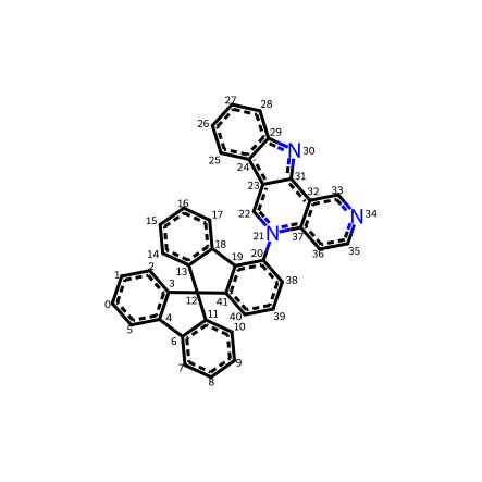 c1ccc2c(c1)-c1ccccc1C21c2ccccc2-c2c(-n3cc4c5ccccc5nc-4c4cnccc43)cccc21